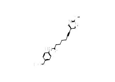 CSc1ncc(C#CCCCCC(=O)Nc2ccc(CO)cc2)cn1